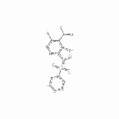 CC(=O)c1c(Cl)nnc2c1ccn2S(=O)(=O)c1ccccc1